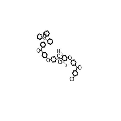 CC(C)(c1ccc(Oc2ccc(C(=O)c3ccc(Cl)cc3)cc2)cc1)c1ccc(Oc2ccc(C(=O)c3ccc([PH](c4ccccc4)(c4ccccc4)c4ccccc4)cc3)cc2)cc1